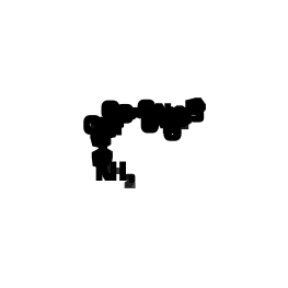 COc1c(OCCCOc2cn3c(c2OC)C=[N+]([O-])C2=CC=C(c4cccs4)CC2C3)cn2c1C=[N+]([O-])C1=CC=C(c3ccc(N)cc3)CC1C2